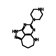 C1CNc2nc(N3CCNCC3)nc3[nH]nc(c23)C1